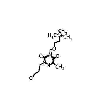 Cc1nn(CCCCl)c(=O)n(COCC[Si](C)(C)C)c1=O